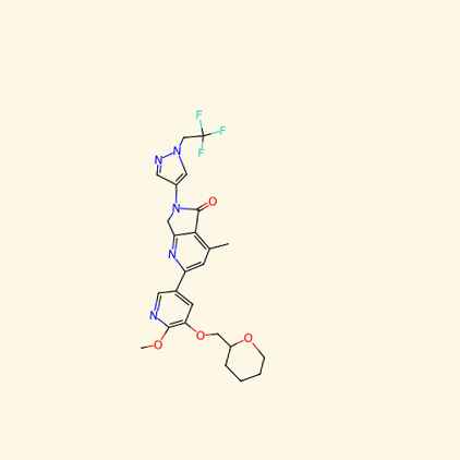 COc1ncc(-c2cc(C)c3c(n2)CN(c2cnn(CC(F)(F)F)c2)C3=O)cc1OCC1CCCCO1